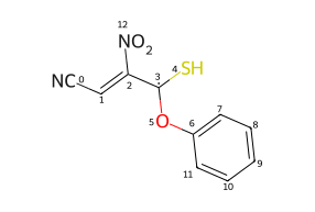 N#CC=C([C](S)Oc1ccccc1)[N+](=O)[O-]